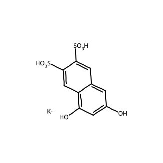 O=S(=O)(O)c1cc2cc(O)cc(O)c2cc1S(=O)(=O)O.[K]